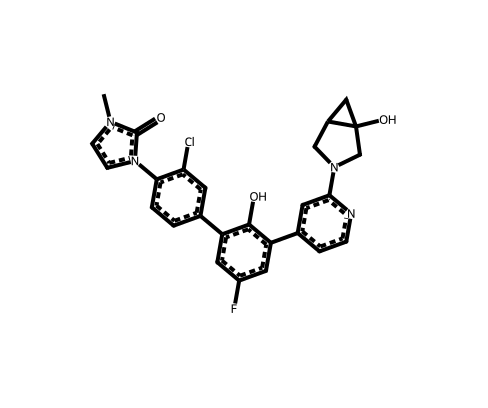 Cn1ccn(-c2ccc(-c3cc(F)cc(-c4ccnc(N5CC6CC6(O)C5)c4)c3O)cc2Cl)c1=O